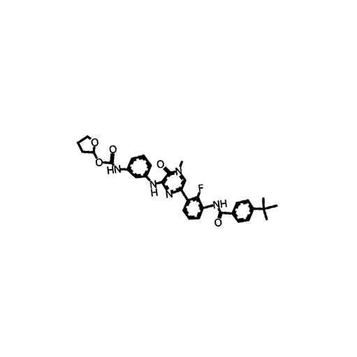 Cn1cc(-c2cccc(NC(=O)c3ccc(C(C)(C)C)cc3)c2F)nc(Nc2cccc(NC(=O)OC3CCCO3)c2)c1=O